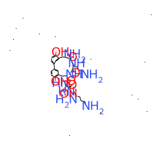 NCCC[C@H](N)CNC(=O)[C@H](CO)NC(=O)[C@@H]1Cc2cc(ccc2O)-c2ccc(O)c(c2)C[C@H](N)C(=O)N[C@@H](CCCN)C(=O)N1